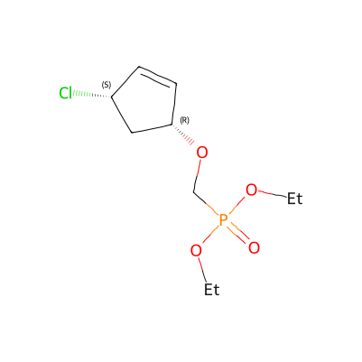 CCOP(=O)(CO[C@H]1C=C[C@@H](Cl)C1)OCC